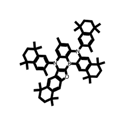 Cc1cc2c3c(c1)N(c1cc4c(cc1C)C(C)(C)CCC4(C)C)c1c(oc4cc5c(cc14)C(C)(C)CCC5(C)C)B3c1cc3c(cc1N2c1cc2c(cc1C)C(C)(C)CCC2(C)C)C(C)(C)CCC3(C)C